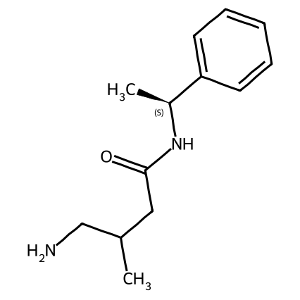 CC(CN)CC(=O)N[C@@H](C)c1ccccc1